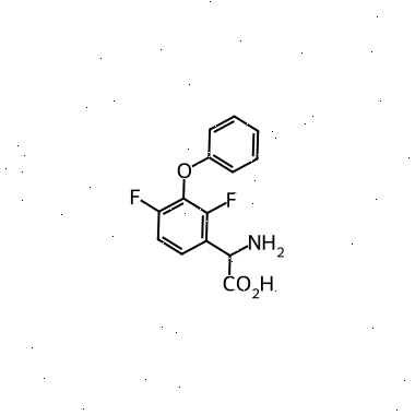 NC(C(=O)O)c1ccc(F)c(Oc2ccccc2)c1F